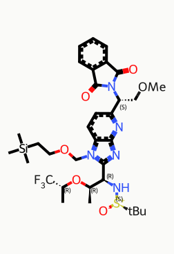 COC[C@H](c1ccc2c(n1)nc([C@@H](N[S@+]([O-])C(C)(C)C)[C@@H](C)O[C@H](C)C(F)(F)F)n2COCC[Si](C)(C)C)N1C(=O)c2ccccc2C1=O